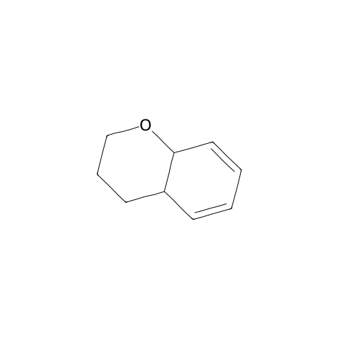 C1=CC2CCCOC2C=C1